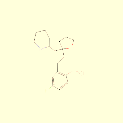 COc1ccc(F)cc1CCC1(CC2CCCCN2)CCCO1